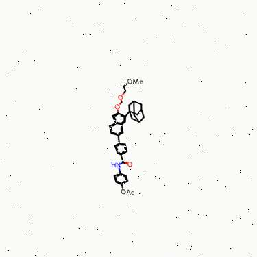 COCCOCOc1cc2ccc(-c3ccc(C(=O)Nc4ccc(OC(C)=O)cc4)cc3)cc2cc1C12CC3CC(CC(C3)C1)C2